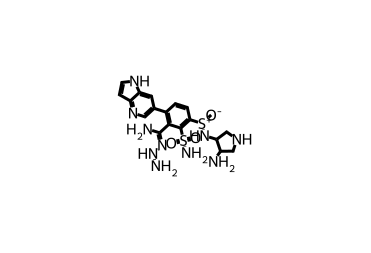 NN/N=C(\N)c1c(-c2cnc3cc[nH]c3c2)ccc([S+]([O-])NC2CNCC2N)c1S(N)(=O)=O